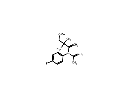 C=C(C)N(C(=C)C(C)(C)COC)c1ccc(F)cc1